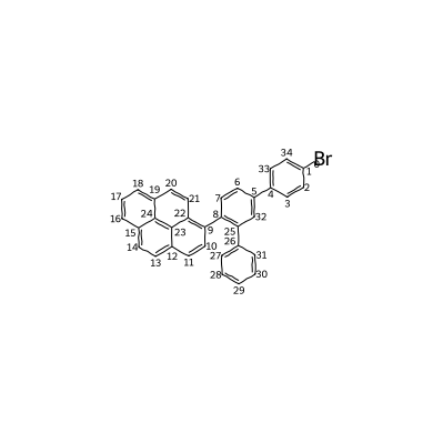 Brc1ccc(-c2ccc(-c3ccc4ccc5cccc6ccc3c4c56)c(-c3ccccc3)c2)cc1